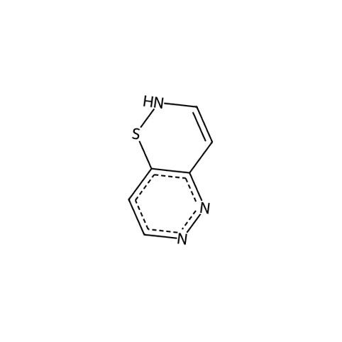 C1=Cc2nnccc2SN1